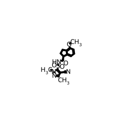 COc1cccc2c1CCC2C(=O)NS(=O)(=O)c1c(C#N)c(C)nn1C